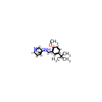 COc1ccc(C(C)(C)C)cc1CNC1CN2CCC1CC2